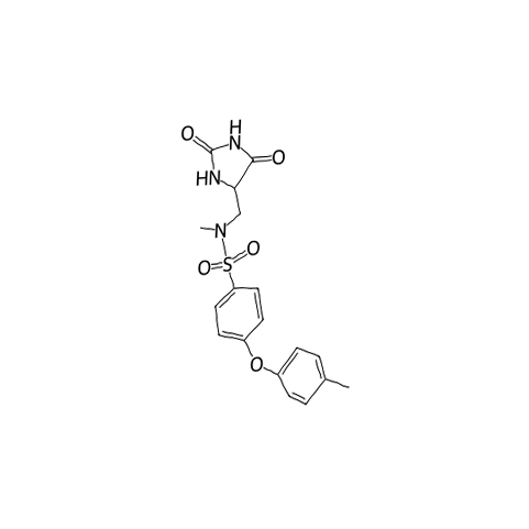 Cc1ccc(Oc2ccc(S(=O)(=O)N(C)CC3NC(=O)NC3=O)cc2)cc1